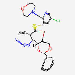 COC1C(N=[N+]=[N-])[C@H]2OC(c3ccccc3)OCC2O[C@@H]1Sc1cc(Cl)cnc1N1CCOCC1